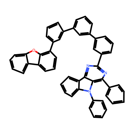 c1ccc(-c2nc(-c3cccc(-c4cccc(-c5cccc(-c6cccc7c6oc6ccccc67)c5)c4)c3)nc3c4ccccc4n(-c4ccccc4)c23)cc1